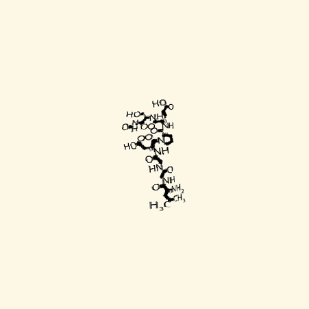 CC(C)C[C@H](N)C(=O)NCC(=O)NCC(=O)N[C@@H](CC(=O)O)C(=O)N1CCC[C@H]1C(=O)N[C@@H](CCC(=O)O)C(=O)N[C@@H](CO)C(=O)NC=O